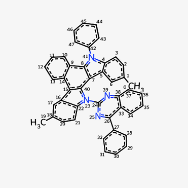 Cc1ccc2c(c1)c1c(c3ccccc3c3c4cc(C)ccc4n(-c4nc(-c5ccccc5)c5ccccc5n4)c31)n2-c1ccccc1